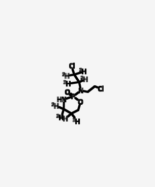 [2H]C([2H])(Cl)C([2H])([2H])N(CCCl)P1(=O)NC([2H])([2H])C([2H])([2H])CO1